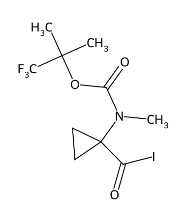 CN(C(=O)OC(C)(C)C(F)(F)F)C1(C(=O)I)CC1